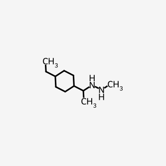 CCC1CCC(C(C)NNC)CC1